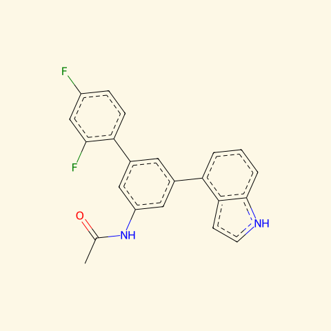 CC(=O)Nc1cc(-c2ccc(F)cc2F)cc(-c2cccc3[nH]ccc23)c1